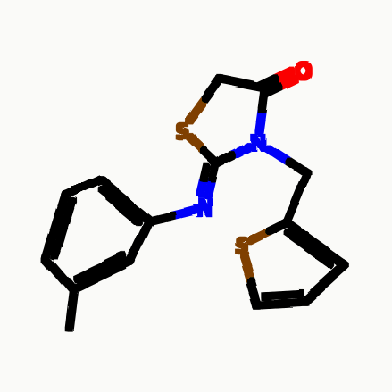 Cc1cccc(/N=C2\SCC(=O)N2Cc2cccs2)c1